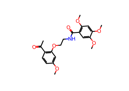 COc1ccc(C(C)=O)c(OCCNC(=O)c2cc(OC)c(OC)cc2OC)c1